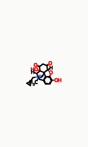 C[N+]1(CC2CC2)CC[C@]23c4c5ccc(O)c4O[C@H]2C(=O)CC(=O)[C@@]3(O)[C@H]1C5